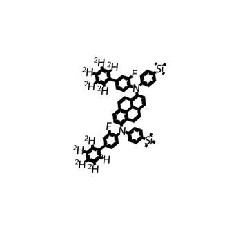 [2H]c1c([2H])c([2H])c(-c2ccc(N(C3=C4C=Cc5ccc(N(c6ccc([Si](C)(C)C)cc6)c6ccc(-c7c([2H])c([2H])c([2H])c([2H])c7[2H])cc6F)c6c5C4C(C=C3)C=C6)c3ccc([Si](C)(C)C)cc3)c(F)c2)c([2H])c1[2H]